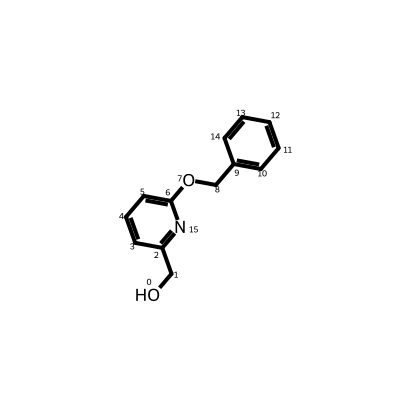 OCc1cccc(OCc2ccccc2)n1